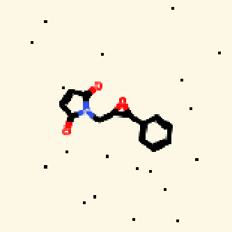 O=C1C=CC(=O)N1CC1OC1c1ccccc1